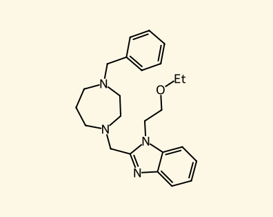 CCOCCn1c(CN2CCCN(Cc3ccccc3)CC2)nc2ccccc21